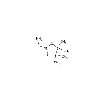 CC1(C)OB(CN)OC1(C)C